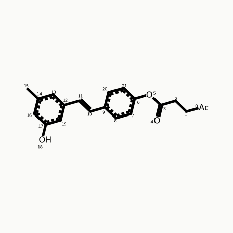 CC(=O)CCC(=O)Oc1ccc(/C=C/c2cc(C)cc(O)c2)cc1